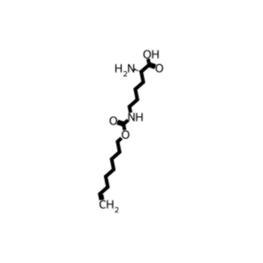 C=CCCCCCCOC(=O)NCCCC[C@H](N)C(=O)O